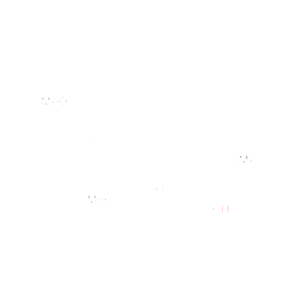 COC(O)COC(COC(C)OC)OC